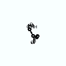 COC(C)OCOc1ccc(C#Cc2ccc(OC(C)C3CNCCO3)cc2)cc1C12CC3CC(CC(C3)C1)C2